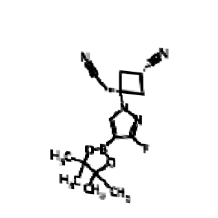 CC1(C)OB(c2cn([C@]3(CC#N)C[C@@H](C#N)C3)nc2F)OC1(C)C